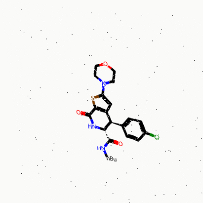 CCCCNC(=O)[C@@H]1NC(=O)c2sc(N3CCOCC3)cc2[C@H]1c1ccc(Cl)cc1